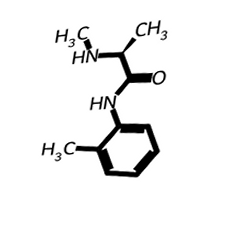 CN[C@@H](C)C(=O)Nc1ccccc1C